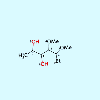 CCC(OC)C(OC)C(O)C(C)O